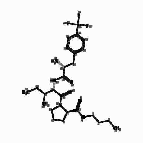 CCCCOC(=O)[C@H]1CCCN1C(=O)[C@@H](NC(=O)[C@H](N)Cc1ccc(C(F)(F)F)cc1)C(C)CC